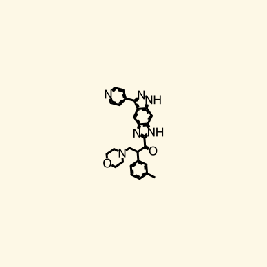 Cc1cccc(C(CN2CCOCC2)C(=O)c2nc3cc4c(-c5ccncc5)n[nH]c4cc3[nH]2)c1